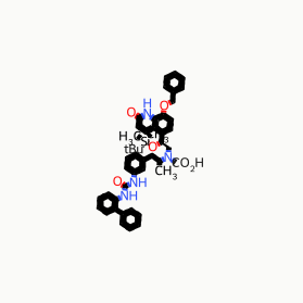 CC(Cc1cccc(NC(=O)Nc2ccccc2-c2ccccc2)c1)N(C[C@@H](O[Si](C)(C)C(C)(C)C)c1ccc(OCc2ccccc2)c2[nH]c(=O)ccc12)C(=O)O